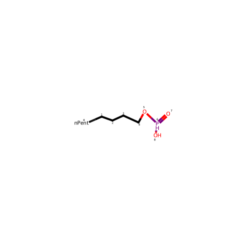 CCCCCCCCCO[PH](=O)O